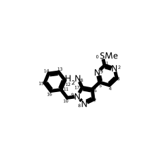 CSc1nccc(-c2cnn(Cc3ccccc3)c2N)n1